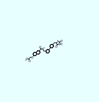 COC(=O)COc1ccc2cc(C(=O)N(C)Cc3cccc(-c4ccc(CC5SC(=O)NC5=O)cc4)c3)ccc2c1